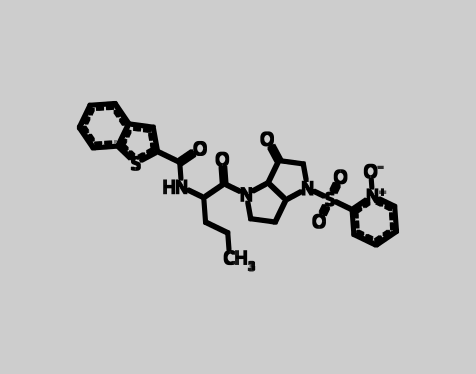 CCCC(NC(=O)c1cc2ccccc2s1)C(=O)N1CCC2C1C(=O)CN2S(=O)(=O)c1cccc[n+]1[O-]